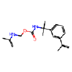 C=C(C)NCOC(=O)NC(C)(C)c1cccc(C(=C)C)c1